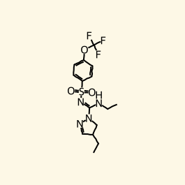 CCN/C(=N\S(=O)(=O)c1ccc(OC(F)(F)F)cc1)N1CC(CC)C=N1